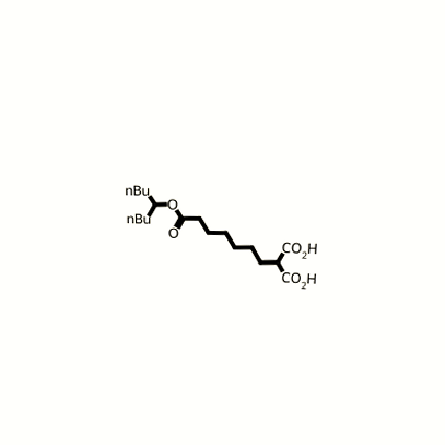 CCCCC(CCCC)OC(=O)CCCCCCC(C(=O)O)C(=O)O